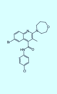 Cc1c(N2CCCOCC2)nc2ccc(Br)cc2c1C(=O)Nc1[c]cc(Cl)cc1